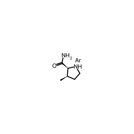 C[C@@H]1CCN[C@@H]1C(N)=O.[Ar]